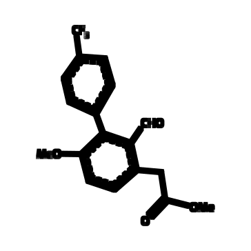 COC(=O)Cc1ccc(OC)c(-c2ccc(C(F)(F)F)cc2)c1C=O